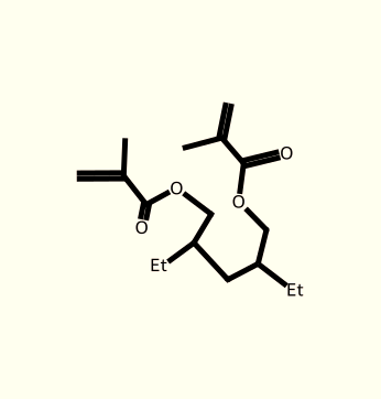 C=C(C)C(=O)OCC(CC)CC(CC)COC(=O)C(=C)C